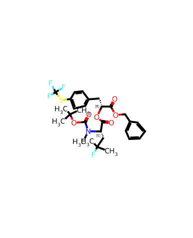 CN(C(=O)OC(C)(C)C)[C@@H](CC(C)(C)F)C(=O)O[C@H](Cc1ccc(SC(F)(F)F)cc1)C(=O)OCc1ccccc1